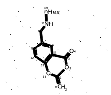 C=C1OC(=O)c2cc(CNCCCCCC)ccc2O1